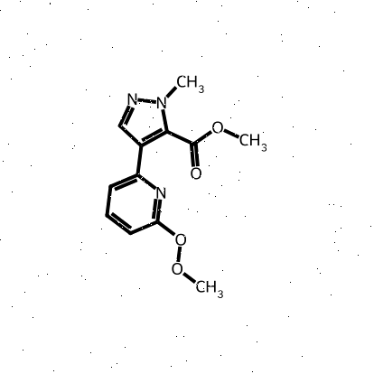 COOc1cccc(-c2cnn(C)c2C(=O)OC)n1